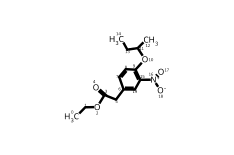 CCOC(=O)Cc1ccc(OC(C)CC)c([N+](=O)[O-])c1